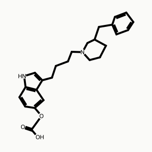 O=C(O)Oc1ccc2[nH]cc(CCCCN3CCCC(Cc4ccccc4)C3)c2c1